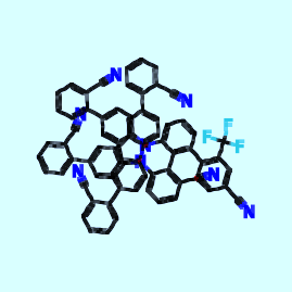 N#Cc1ccc(-c2cccc(-n3c4ccc(-c5ccccc5C#N)cc4c4cc(-c5ccccc5C#N)ccc43)c2-c2c(C#N)cccc2-n2c3ccc(-c4ccccc4C#N)cc3c3cc(-c4ccccc4C#N)ccc32)c(C(F)(F)F)c1